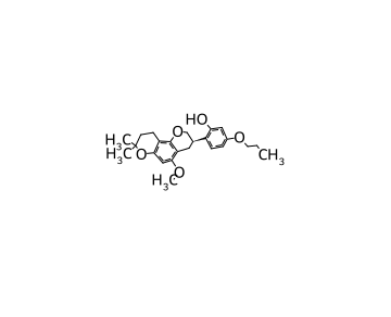 CCCOc1ccc([C@@H]2COc3c(c(OC)cc4c3CCC(C)(C)O4)C2)c(O)c1